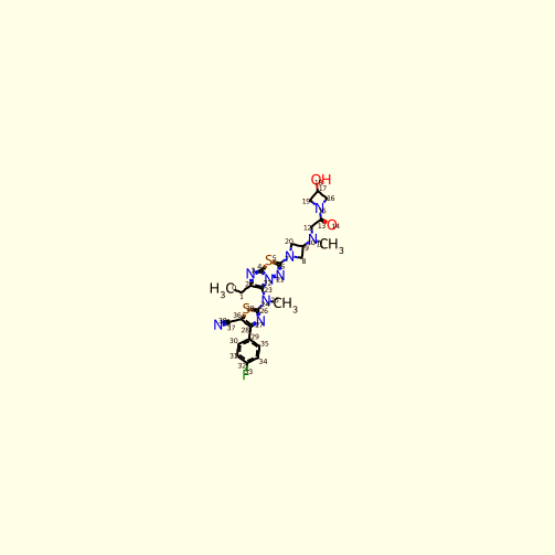 CCc1nc2sc(N3CC(N(C)CC(=O)N4CC(O)C4)C3)nn2c1N(C)c1nc(-c2ccc(F)cc2)c(C#N)s1